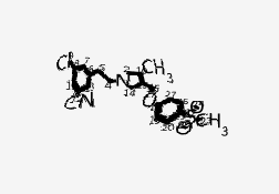 CC1CN(CCc2cc(Cl)cc(C#N)c2)CC1COc1ccc(S(C)(=O)=O)cc1